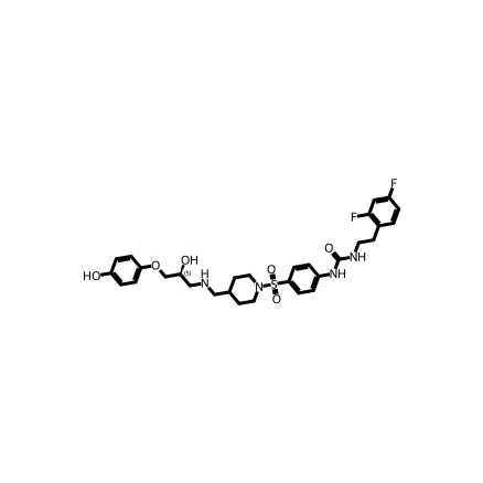 O=C(NCCc1ccc(F)cc1F)Nc1ccc(S(=O)(=O)N2CCC(CNC[C@H](O)COc3ccc(O)cc3)CC2)cc1